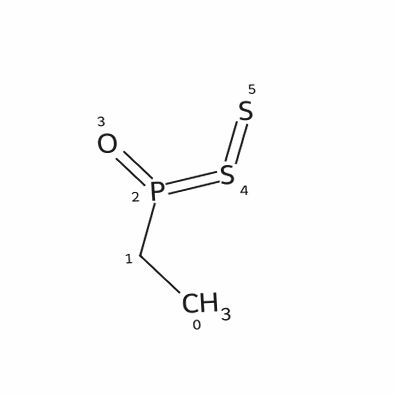 CCP(=O)=S=S